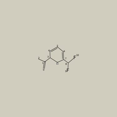 C=C(C)C1C=CC=C(C(F)F)C1